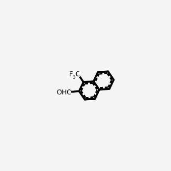 O=Cc1ccc2ccccc2c1C(F)(F)F